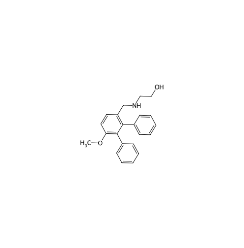 COc1ccc(CNCCO)c(-c2ccccc2)c1-c1ccccc1